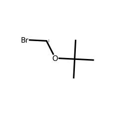 CC(C)(C)O[C]Br